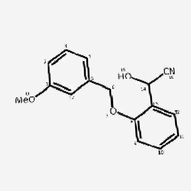 COc1cccc(COc2ccccc2C(O)C#N)c1